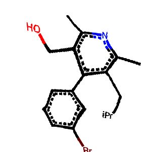 Cc1nc(C)c(CC(C)C)c(-c2cccc(Br)c2)c1CO